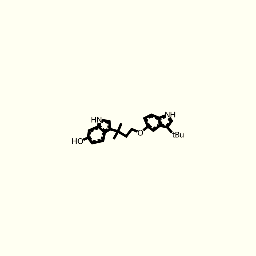 CC(C)(C)c1c[nH]c2ccc(OCCC(C)(C)c3c[nH]c4cc(O)ccc34)cc12